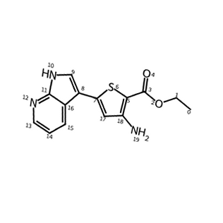 CCOC(=O)c1sc(-c2c[nH]c3ncccc23)cc1N